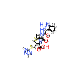 Cn1ncnc1SCC1=C(C(=O)O)N2C(=O)C(NC(=O)Cc3ccccc3N)[C@@H]2SC1